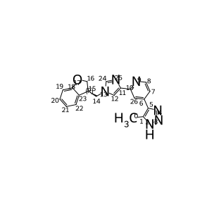 Cc1[nH]nnc1-c1ccnc(-c2cn(C[C@@H]3COc4ccccc43)cn2)c1